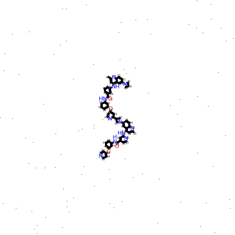 Cc1cc(Nc2cccc(C(=O)Nc3cccc(Oc4ccnc(C5CN(c6ccc7nc(C)cc(Nc8cc(C(=O)Nc9cccc(Oc%10ccncc%10)c9)ccn8)c7c6)C5)c4)c3)c2)c2cc(N3CCC3)ccc2n1